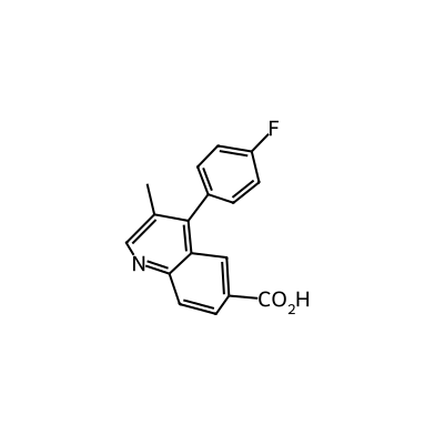 Cc1cnc2ccc(C(=O)O)cc2c1-c1ccc(F)cc1